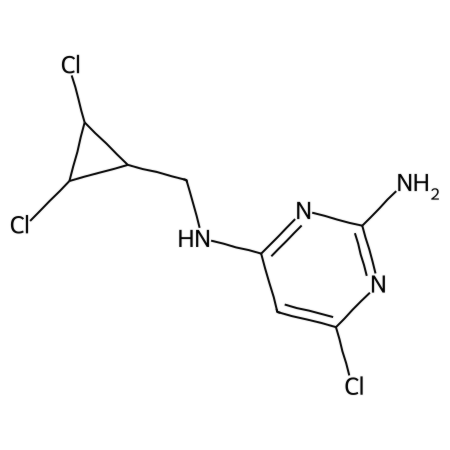 Nc1nc(Cl)cc(NCC2C(Cl)C2Cl)n1